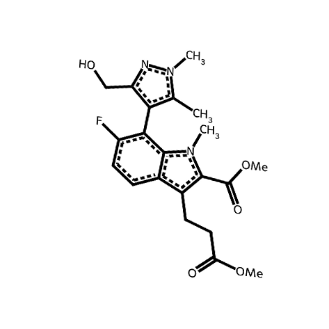 COC(=O)CCc1c(C(=O)OC)n(C)c2c(-c3c(CO)nn(C)c3C)c(F)ccc12